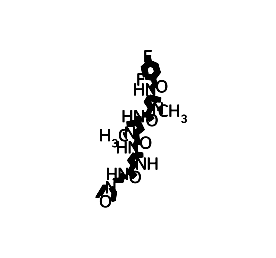 Cn1cc(NC(=O)c2ccc(F)cc2F)cc1C(=O)Nc1cc(C(=O)Nc2c[nH]c(C(=O)NCCN3CCOCC3)c2)n(C)c1